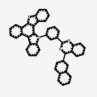 c1cc(-c2nc(-c3ccc4ccccc4c3)c3ccccc3n2)cc(-n2c3ccccc3c3c4ccccc4c4sc5ccccc5c4c32)c1